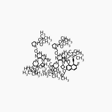 CC(C)(C)OC(=O)N1CCC[C@H]1COc1nc(N2CCC[C@@](C)(O[Si](C)(C)C(C)(C)C)C2)c2c(n1)nc(Br)n2C1CCC1.COCOc1cc(Oc2nc3nc(OC[C@H]4CCCN4C(=O)OC(C)(C)C)nc(N4CCC[C@](C)(O[Si](C)(C)C(C)(C)C)C4)c3n2C2CCC2)c2c(C#C[Si](C(C)C)(C(C)C)C(C)C)c(F)ccc2c1